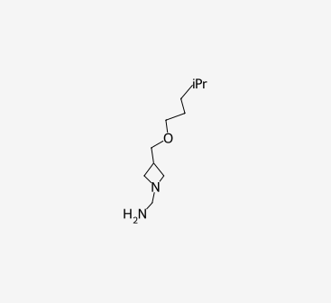 CC(C)CCCOCC1CN(CN)C1